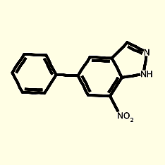 O=[N+]([O-])c1cc(-c2ccccc2)cc2cn[nH]c12